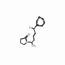 CCC(CCCC(C)N1CCCC1=O)c1ccccc1